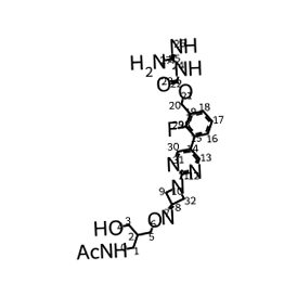 CC(=O)NCC(CO)CON=C1CN(c2ncc(-c3cccc(COC(=O)NC(=N)N)c3F)cn2)C1